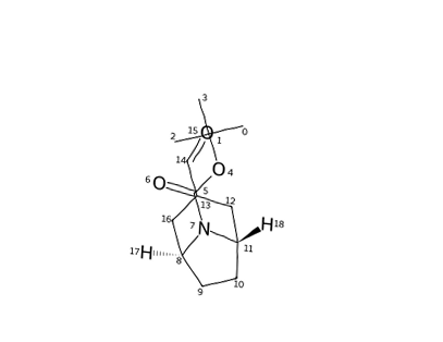 CC(C)(C)OC(=O)N1[C@H]2CC[C@H]1CC(C=O)C2